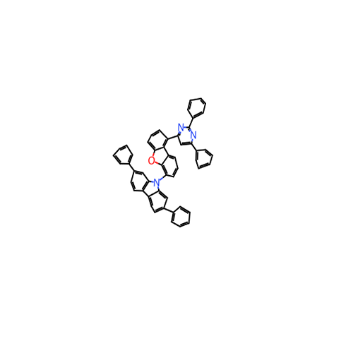 c1ccc(-c2ccc3c4ccc(-c5ccccc5)cc4n(-c4cccc5c4oc4cccc(-c6cc(-c7ccccc7)nc(-c7ccccc7)n6)c45)c3c2)cc1